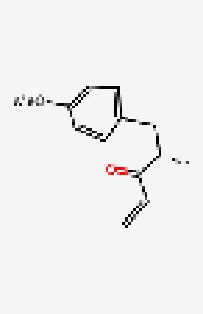 C=CC(=O)[C@@H](C)Cc1ccc(OC)cc1